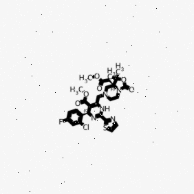 COC(=O)C[C@]12CN(CC3=C(C(=O)OC)[C@H](c4ccc(F)cc4Cl)N=C(c4nccs4)N3)CCN1C(=O)OC2(C)C